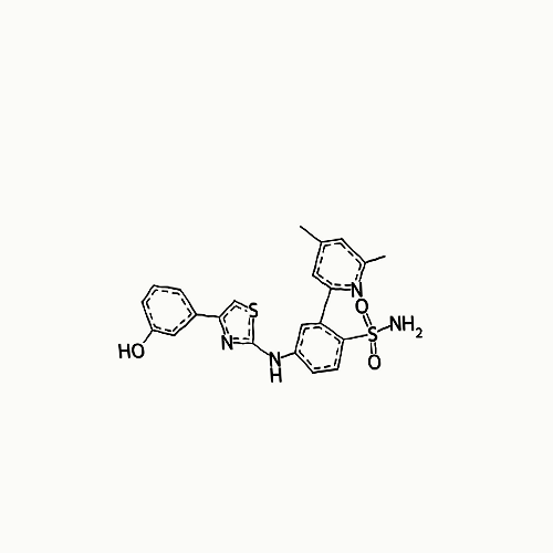 Cc1cc(C)nc(-c2cc(Nc3nc(-c4cccc(O)c4)cs3)ccc2S(N)(=O)=O)c1